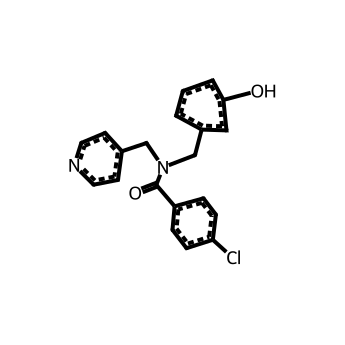 O=C(c1ccc(Cl)cc1)N(Cc1ccncc1)Cc1cccc(O)c1